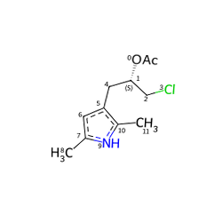 CC(=O)O[C@H](CCl)Cc1cc(C)[nH]c1C